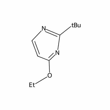 CCOc1ccnc(C(C)(C)C)n1